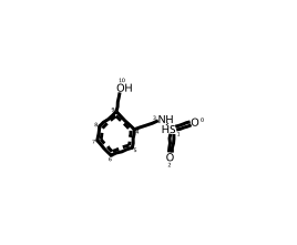 O=[SH](=O)Nc1ccccc1O